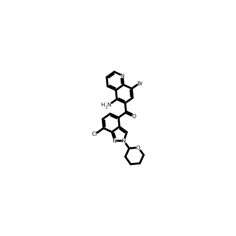 Nc1c(C(=O)c2ccc(Cl)c3nn(C4CCCCO4)cc23)cc(Br)c2ncccc12